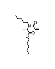 C=CC(=O)N(CCCCC)[C@@H](C)C(=O)OCCCCC